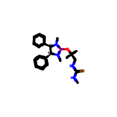 CNC(=S)NCC(C)(C)OP1N(C)[C@H](c2ccccc2)[C@@H](c2ccccc2)N1C